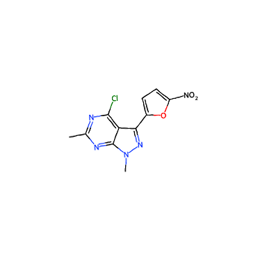 Cc1nc(Cl)c2c(-c3ccc([N+](=O)[O-])o3)nn(C)c2n1